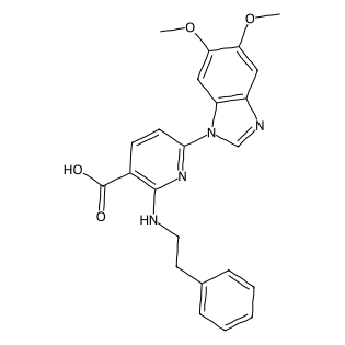 COc1cc2ncn(-c3ccc(C(=O)O)c(NCCc4ccccc4)n3)c2cc1OC